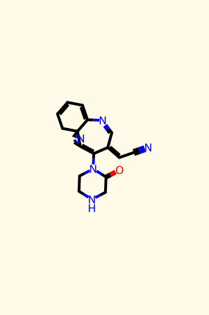 N#CC=C1C=NC2=CC=CCC23CN=CC3=C1N1CCNCC1=O